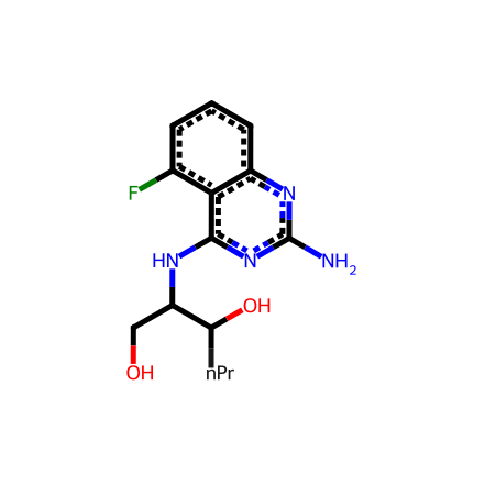 CCCC(O)C(CO)Nc1nc(N)nc2cccc(F)c12